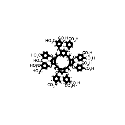 CC1c2cc(c(Oc3ccc(C(=O)O)c(C(=O)O)c3)cc2Oc2ccc(C(=O)O)c(C(=O)O)c2)C(C)c2cc(c(Oc3ccc(C(=O)O)c(C(=O)O)c3)cc2Oc2ccc(C(=O)O)c(C(=O)O)c2)C(C)c2cc(c(Oc3ccc(C(=O)O)c(C(=O)O)c3)cc2Oc2ccc(C(=O)O)c(C(=O)O)c2)C(C)c2cc1c(Oc1ccc(C(=O)O)c(C(=O)O)c1)cc2Oc1ccc(C(=O)O)c(C(=O)O)c1